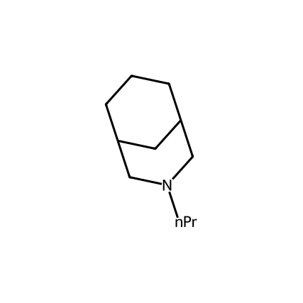 CCCN1CC2CCCC(C2)C1